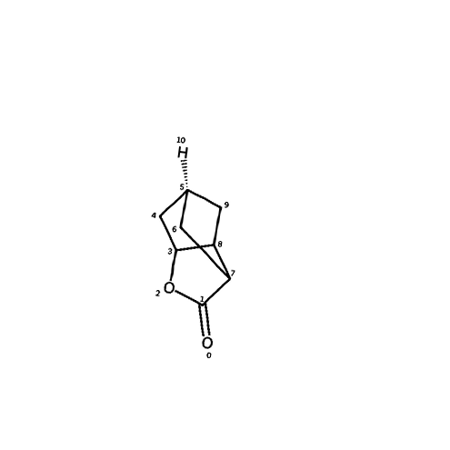 O=C1OC2C[C@@H]3CC1C2C3